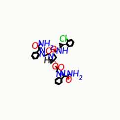 NC(=O)c1nn(CC(=O)OC[C@@]23C[C@@H](C(=O)N[C@@H]4C[C@H]4c4ccccc4Cl)N(C(=O)Cn4nc(C(N)=O)c5ccccc54)[C@@H]2C3)c2ccccc12